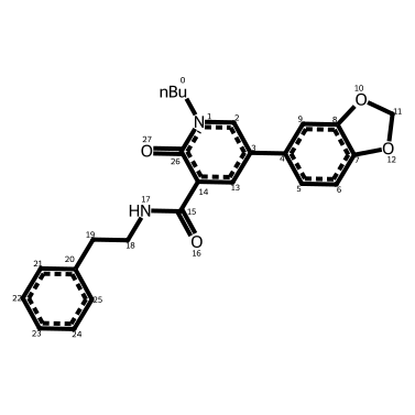 CCCCn1cc(-c2ccc3c(c2)OCO3)cc(C(=O)NCCc2ccccc2)c1=O